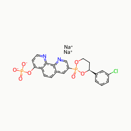 O=P([O-])([O-])Oc1ccnc2c1ccc1cc(P3(=O)OCC[C@@H](c4cccc(Cl)c4)O3)cnc12.[Na+].[Na+]